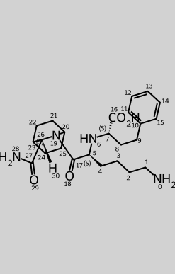 NCCCC[C@H](N[C@@H](CCc1ccccc1)C(=O)O)C(=O)N1C2CCC(CC2)[C@H]1C(N)=O